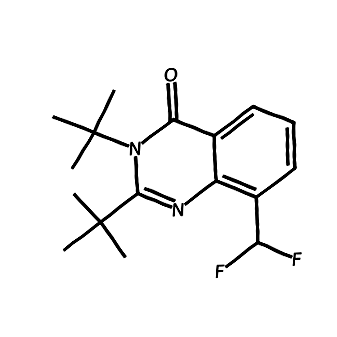 CC(C)(C)c1nc2c(C(F)F)cccc2c(=O)n1C(C)(C)C